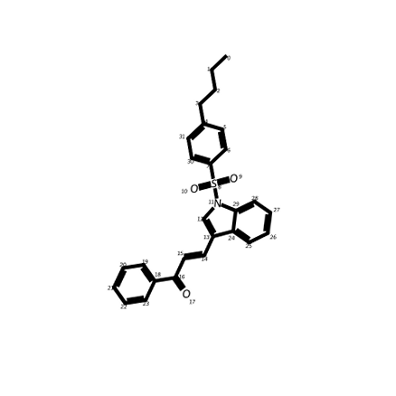 CCCCc1ccc(S(=O)(=O)n2cc(/C=C/C(=O)c3ccccc3)c3ccccc32)cc1